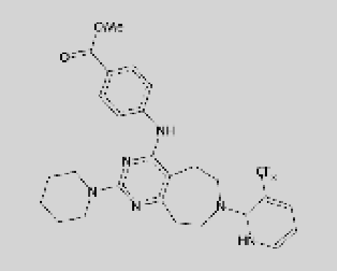 COC(=O)c1ccc(Nc2nc(N3CCCCC3)nc3c2CCN(C2NC=CC=C2C(F)(F)F)CC3)cc1